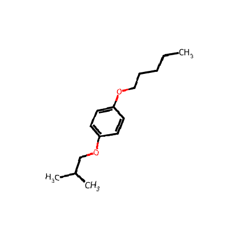 CCCCCOc1ccc(OCC(C)C)cc1